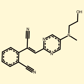 CN(CCO)c1cnc(C=C(C#N)c2ccccc2C#N)nc1